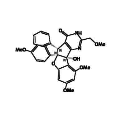 COCc1nc2c(c(=O)[nH]1)[C@@H](c1ccccc1)[C@]1(c3ccc(OC)cc3)Oc3cc(OC)cc(OC)c3[C@]21O